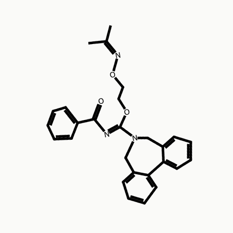 CC(C)=NOCCO/C(=N\C(=O)c1ccccc1)N1Cc2ccccc2-c2ccccc2C1